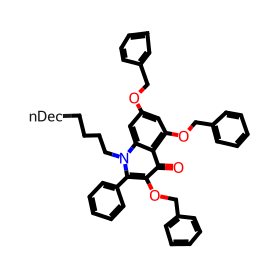 CCCCCCCCCCCCCCn1c(-c2ccccc2)c(OCc2ccccc2)c(=O)c2c(OCc3ccccc3)cc(OCc3ccccc3)cc21